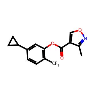 Cc1nocc1C(=O)Oc1cc(C2CC2)ccc1C(F)(F)F